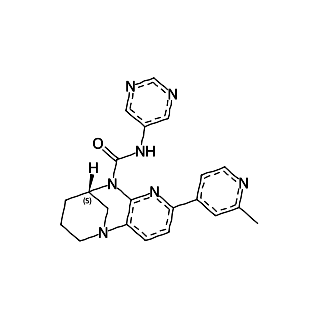 Cc1cc(-c2ccc3c(n2)N(C(=O)Nc2cncnc2)[C@H]2CCCN3C2)ccn1